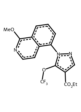 CCOC(=O)c1cnn(-c2cccc3c(OC)nccc23)c1OC(F)(F)F